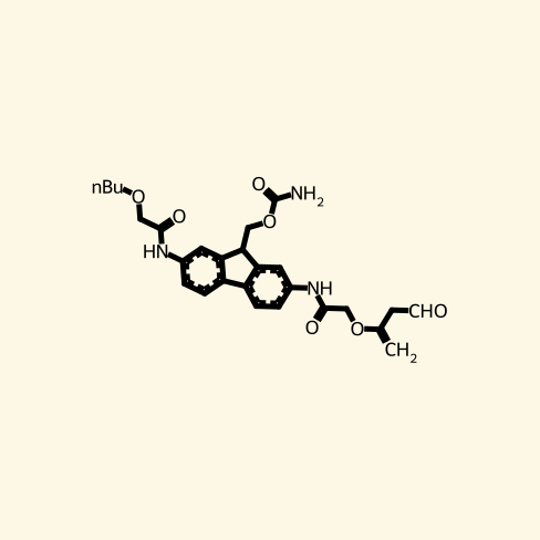 C=C(CC=O)OCC(=O)Nc1ccc2c(c1)C(COC(N)=O)c1cc(NC(=O)COCCCC)ccc1-2